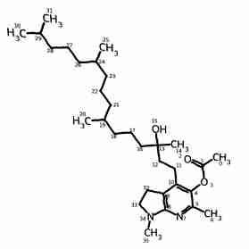 CC(=O)Oc1c(C)nc2c(c1CCC(C)(O)CCCC(C)CCCC(C)CCCC(C)C)CCN2C